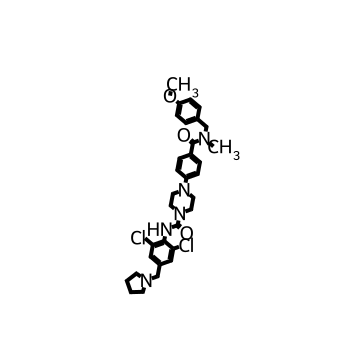 COc1ccc(CN(C)C(=O)c2ccc(N3CCN(C(=O)Nc4c(Cl)cc(CN5CCCC5)cc4Cl)CC3)cc2)cc1